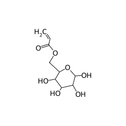 C=CC(=O)OCC1OC(O)C(O)C(O)C1O